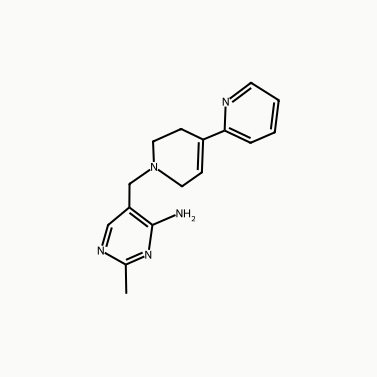 Cc1ncc(CN2CC=C(c3ccccn3)CC2)c(N)n1